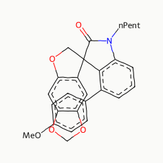 CCCCCN1C(=O)C2(COc3cc4c(cc32)OCO4)c2c(-c3ccc(OC)cc3)cccc21